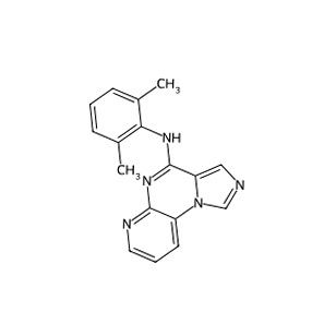 Cc1cccc(C)c1Nc1nc2ncccc2n2cncc12